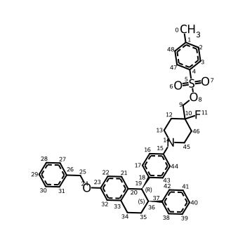 Cc1ccc(S(=O)(=O)OCC2(F)CCN(c3ccc([C@@H]4c5ccc(OCc6ccccc6)cc5CC[C@@H]4c4ccccc4)cc3)CC2)cc1